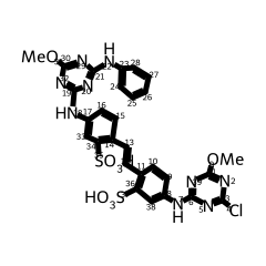 COc1nc(Cl)nc(Nc2ccc(C=Cc3ccc(Nc4nc(Nc5ccccc5)nc(OC)n4)cc3S(=O)(=O)O)c(S(=O)(=O)O)c2)n1